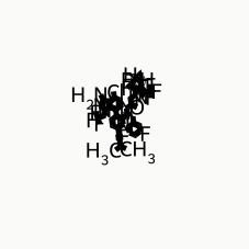 CC(C)C#Cc1ccc(-c2ccc(Cl)c3c(N)nn(CC(F)(F)F)c23)c([C@H](Cc2cc(F)cc(F)c2)NC(=O)Cn2nc(C(F)(F)F)c3c2C(F)(F)[C@@H]2C[C@H]32)n1